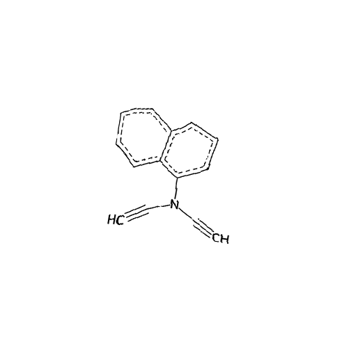 C#CN(C#C)c1cccc2ccccc12